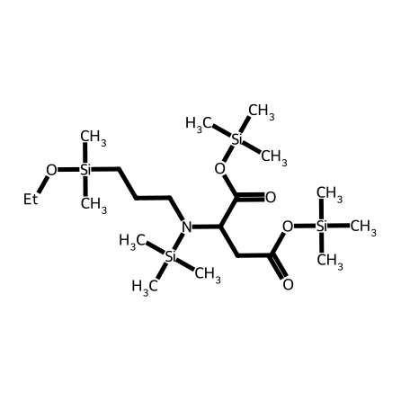 CCO[Si](C)(C)CCCN(C(CC(=O)O[Si](C)(C)C)C(=O)O[Si](C)(C)C)[Si](C)(C)C